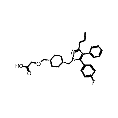 CCCc1nn(C[C@H]2CC[C@@H](COCC(=O)O)CC2)c(-c2ccc(F)cc2)c1-c1ccccc1